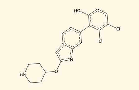 Oc1ccc(Cl)c(Cl)c1-c1ccn2cc(OC3CCNCC3)nc2c1